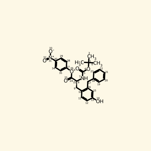 CC(C)(C)OC(=O)N[C@@H](Cc1ccc(O)cc1Cc1ccccc1)C(=O)Oc1ccc([N+](=O)[O-])cc1